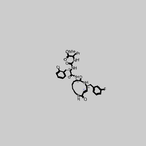 COC(=O)C(NC(=O)N[C@@H](Cc1ccccc1Cl)C(=O)N[C@H]1CCCCNC(=O)/C=C/[C@H](Cc2cccc(F)c2)NC1=O)C(C)C